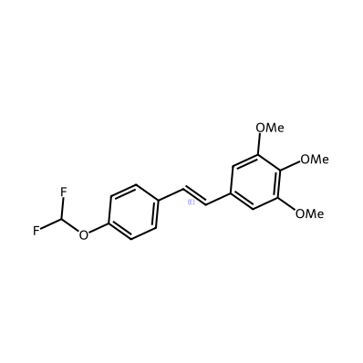 COc1cc(/C=C/c2ccc(OC(F)F)cc2)cc(OC)c1OC